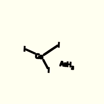 [AsH3].[I][Ga]([I])[I]